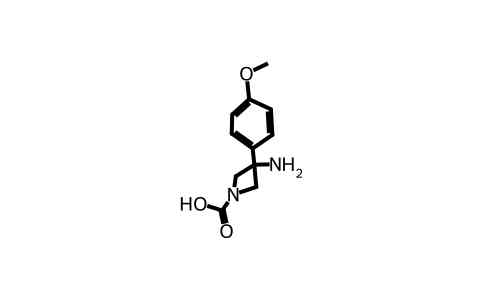 COc1ccc(C2(N)CN(C(=O)O)C2)cc1